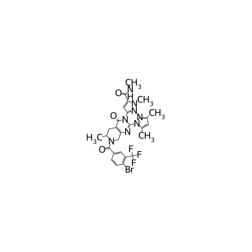 CNC(=O)c1cc(-n2c(-n3nc(C)cc3C)nc3c(c2=O)CC(C)N(C(=O)c2ccc(Br)c(C(F)(F)F)c2)C3)nn1C